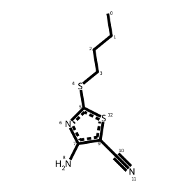 CCCCSc1nc(N)c(C#N)s1